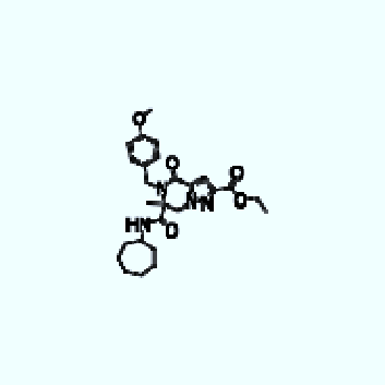 CCOC(=O)c1cc2n(n1)CC(C)(C(=O)NC1CCCCCC1)N(Cc1ccc(OC)cc1)C2=O